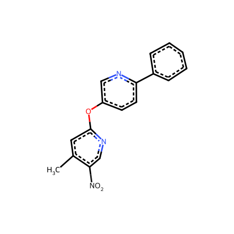 Cc1cc(Oc2ccc(-c3ccccc3)nc2)ncc1[N+](=O)[O-]